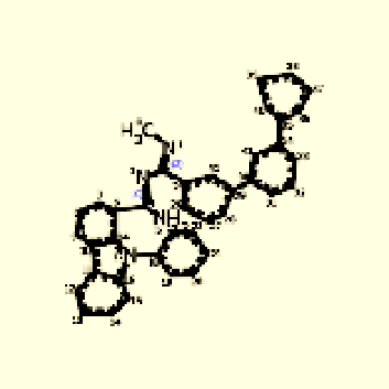 C/N=C(\N=C(/N)c1cccc2c3ccccc3n(-c3ccccc3)c12)c1cccc(-c2cccc(-c3ccccc3)c2)c1